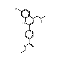 CCOC(=O)c1ccc(C2=CN(CN(C)C)c3ccc(Br)cc3N2)cc1